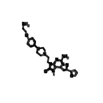 Cn1c(=O)n(CCN2CCN(c3ccc(OCCN)cc3)CC2)c2nc(N)n3nc(-c4ccco4)cc3c21